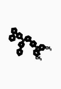 Cc1ccc2c(c1)c1cc(C)ccc1n2-c1ccc(-c2cccc(N(C3=CC=C(c4ccccc4-c4ccccc4)CC3)c3ccc(-c4ccccc4)cc3)c2)cc1